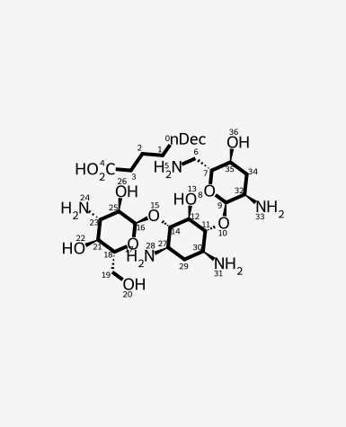 CCCCCCCCCCCCCC(=O)O.NC[C@H]1O[C@H](O[C@H]2[C@H](O)[C@@H](O[C@H]3O[C@H](CO)[C@@H](O)[C@H](N)[C@H]3O)[C@H](N)C[C@@H]2N)[C@H](N)C[C@@H]1O